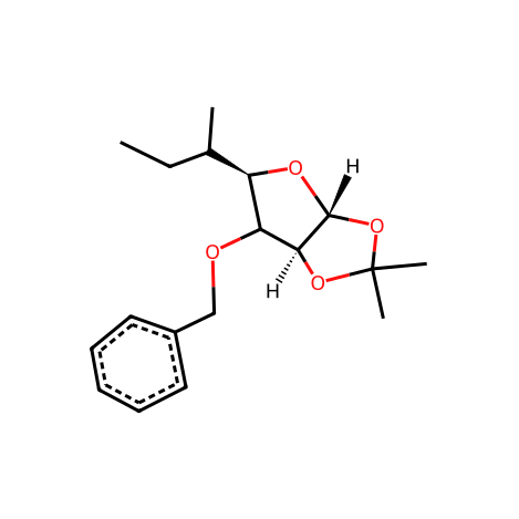 CCC(C)[C@H]1O[C@@H]2OC(C)(C)O[C@H]2C1OCc1ccccc1